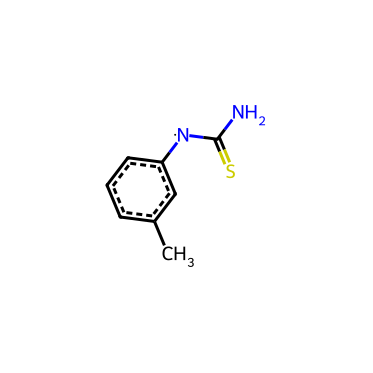 Cc1cccc([N]C(N)=S)c1